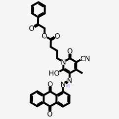 Cc1c(/N=N/c2cccc3c2C(=O)c2ccccc2C3=O)c(O)n(CCCC(=O)OCC(=O)c2ccccc2)c(=O)c1C#N